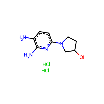 Cl.Cl.Nc1ccc(N2CCC(O)C2)nc1N